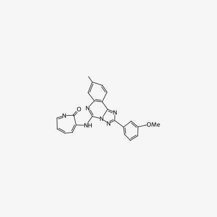 COc1cccc(-c2nc3c4ccc(C)cc4nc(Nc4ccccnc4=O)n3n2)c1